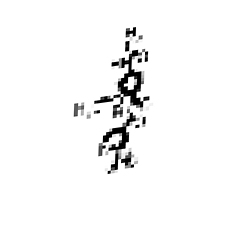 CCOc1cc(NC(C)=O)ccc1C(=O)NC(=O)c1ccnc([N+](=O)[O-])c1